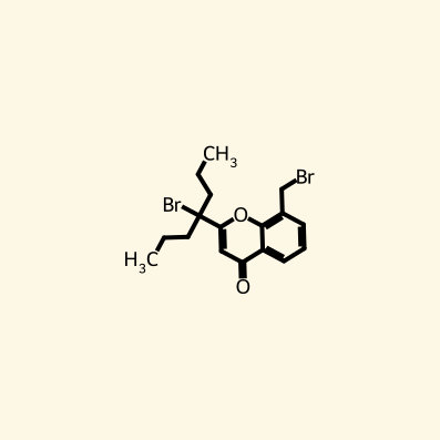 CCCC(Br)(CCC)c1cc(=O)c2cccc(CBr)c2o1